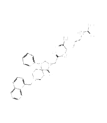 NC(=O)NCCC[C@H](NC(=O)CN1CN(c2ccccc2)C2(CCN(Cc3cccc4ccccc34)CC2)C1=O)C(N)=O